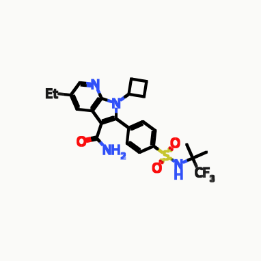 CCc1cnc2c(c1)c(C(N)=O)c(-c1ccc(S(=O)(=O)NC(C)(C)C(F)(F)F)cc1)n2C1CCC1